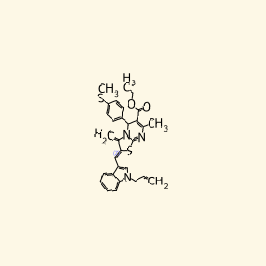 C=CCn1cc(/C=C2\SC3=NC(C)=C(C(=O)OCC)C(c4ccc(SC)cc4)N3C2=C)c2ccccc21